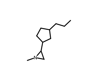 CCCC1CCC(C2CN2C)C1